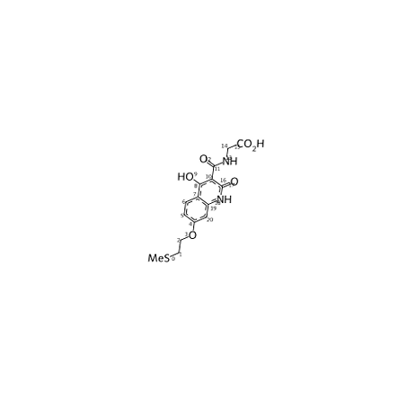 CSCCOc1ccc2c(O)c(C(=O)NCC(=O)O)c(=O)[nH]c2c1